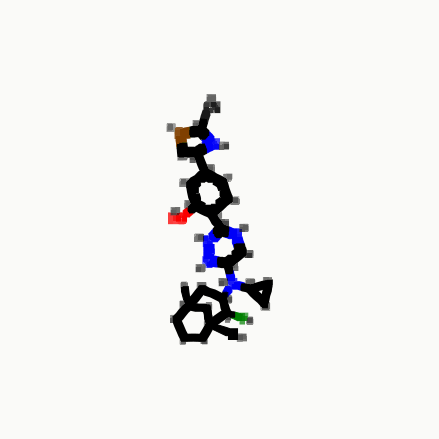 C[C@]12CCC[C@H](C1)[C@H](F)[C@H](N(c1cnc(-c3ccc(-c4csc(C#N)n4)cc3O)nn1)C1CC1)C2